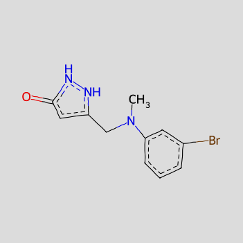 CN(Cc1cc(=O)[nH][nH]1)c1cccc(Br)c1